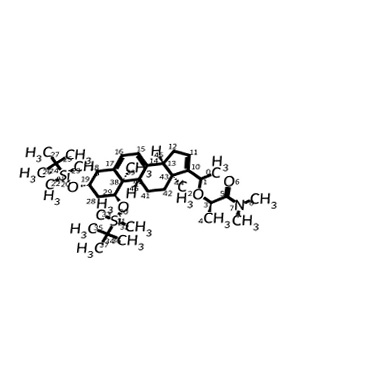 CC(O[C@H](C)C(=O)N(C)C)C1=CC[C@H]2C3=CC=C4C[C@@H](O[Si](C)(C)C(C)(C)C)C[C@H](O[Si](C)(C)C(C)(C)C)[C@]4(C)[C@H]3CC[C@]12C